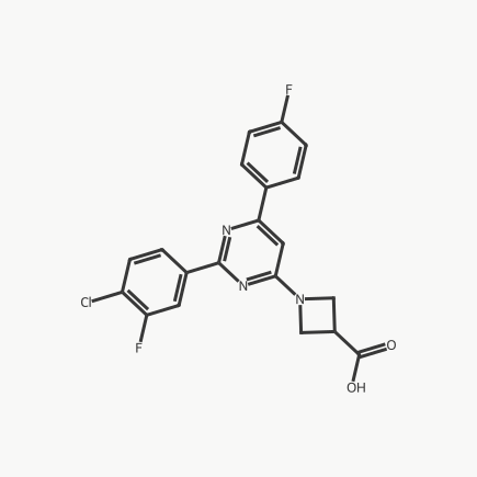 O=C(O)C1CN(c2cc(-c3ccc(F)cc3)nc(-c3ccc(Cl)c(F)c3)n2)C1